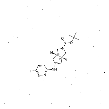 CC(C)(C)OC(=O)N1C[C@H]2C[C@@H](Nc3ccc(I)nn3)C[C@H]2C1